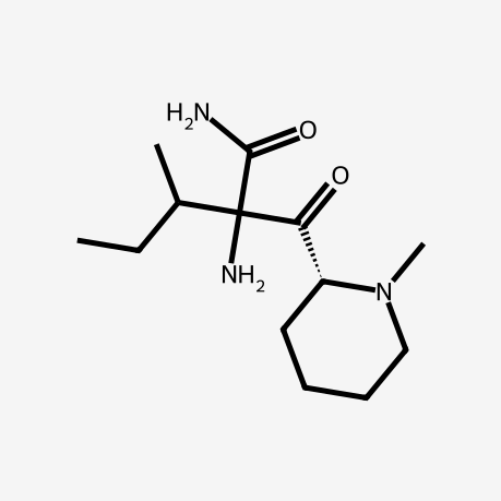 CCC(C)C(N)(C(N)=O)C(=O)[C@H]1CCCCN1C